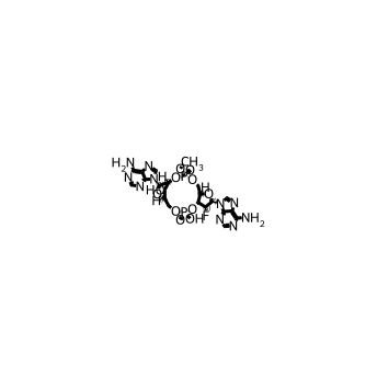 COP1(=O)OC[C@H]2O[C@@H](n3cnc4c(N)ncnc43)[C@@H](F)C2OP(=O)(O)OC[C@H]2O[C@@H](n3cnc4c(N)ncnc43)[C@@H](O1)C2O